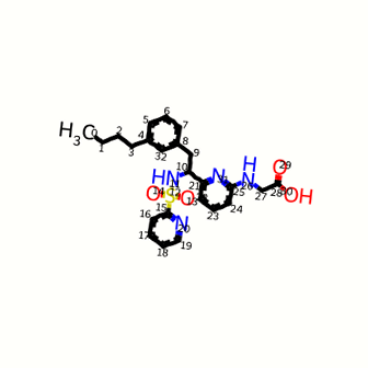 CCCCc1cccc(CC(NS(=O)(=O)c2ccccn2)c2cccc(NCC(=O)O)n2)c1